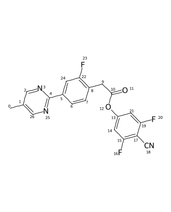 Cc1cnc(-c2ccc(CC(=O)Oc3cc(F)c(C#N)c(F)c3)c(F)c2)nc1